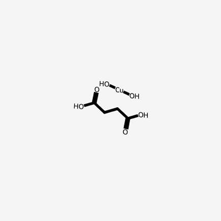 O=C(O)CCC(=O)O.[OH][Cu][OH]